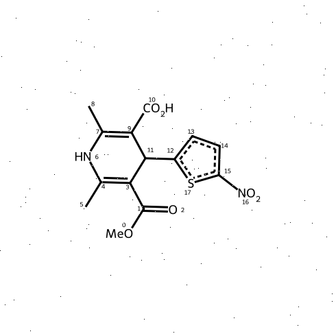 COC(=O)C1=C(C)NC(C)=C(C(=O)O)C1c1ccc([N+](=O)[O-])s1